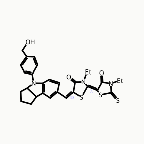 CCN1C(=O)/C(=c2/s/c(=C/c3ccc4c(c3)C3CCCC3N4c3ccc(CO)cc3)c(=O)n2CC)SC1=S